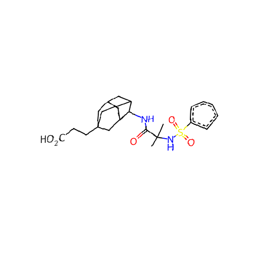 CC(C)(NS(=O)(=O)c1ccccc1)C(=O)NC1C2CC3CC1CC(CCC(=O)O)(C3)C2